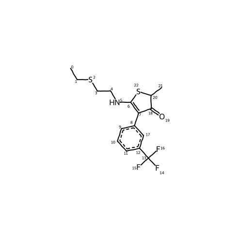 CCSCCNC1=C(c2cccc(C(F)(F)F)c2)C(=O)C(C)S1